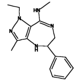 CCn1nc(C)c2c1C(NC)=NCC(c1ccccc1)N2